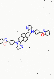 c1ccc2oc(-c3ccc(-n4c5cccnc5c5c6ccc7cc8c(c9ccc(cc54)c6c79)c4ncccc4n8-c4ccc(-c5nc6ccccc6o5)cc4)cc3)nc2c1